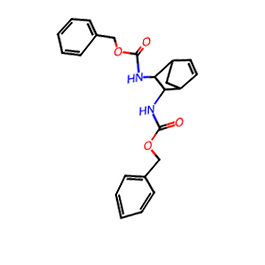 O=C(NC1C2C=CC(C2)C1NC(=O)OCc1ccccc1)OCc1ccccc1